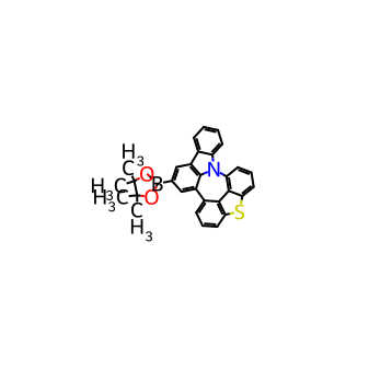 CC1(C)OB(c2cc3c4cccc5sc6cccc(c6c54)n4c5ccccc5c(c2)c34)OC1(C)C